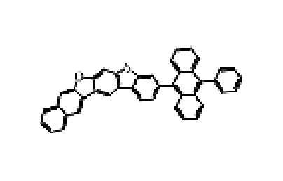 c1ccc(-c2c3ccccc3c(-c3ccc4c(c3)sc3cc5oc6cc7ccccc7cc6c5cc34)c3ccccc23)cc1